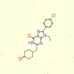 CCn1c(-c2ccc(Cl)cc2)nc2c(=O)[nH]c(CC3CCC(=O)CC3)nc21